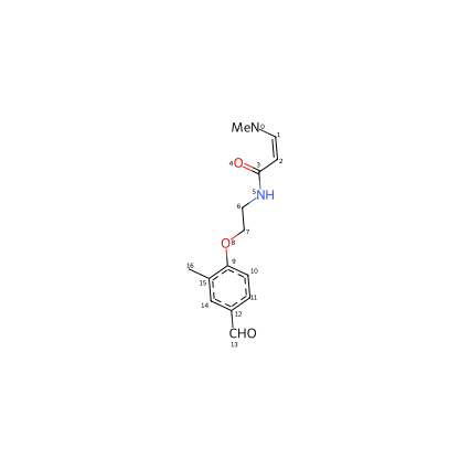 CN/C=C\C(=O)NCCOc1ccc(C=O)cc1C